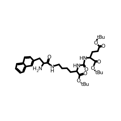 CC(C)(C)OC(=O)CCC(NC(=O)NC(CCCCNC(=O)C(N)Cc1ccc2ccccc2c1)C(=O)OC(C)(C)C)C(=O)OC(C)(C)C